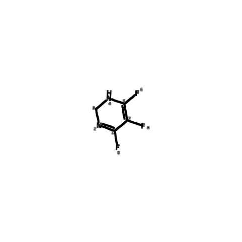 FC1=NCNC(F)=C1F